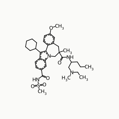 CCCC(CN(C)CC)NC(=O)C1(C)Cc2cc(OC)ccc2-c2c(C3CCCCC3)c3ccc(C(=O)NS(C)(=O)=O)cc3n2C1